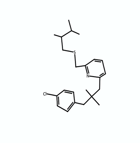 CC(C)C(C)CSCc1cccc(CC(C)(C)Cc2ccc(Cl)cc2)n1